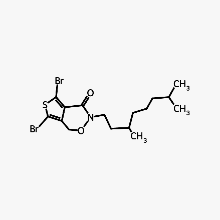 CC(C)CCCC(C)CCN1OCc2c(Br)sc(Br)c2C1=O